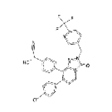 N#C[C@@H](O)c1ccc(-c2c(-c3ccc(Cl)cc3)ccn3c(=O)n(Cc4ccc(C(F)(F)F)nc4)nc23)cc1